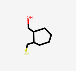 OCC1CCCCC1CS